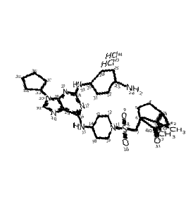 CC1(C)C2CCC1(CS(=O)(=O)N1CCC(Nc3nc(NC4CCC(N)CC4)nc4c3ncn4C3CCCC3)CC1)C(=O)C2.Cl.Cl